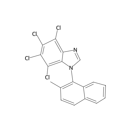 Cc1ccc2ccccc2c1-n1cnc2c(Cl)c(Cl)c(Cl)c(Cl)c21